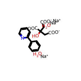 O.O.O=C([O-])CC(O)(CC(=O)[O-])C(=O)[O-].[Na+].[Na+].[Na+].c1ccc(-c2ccccn2)cc1